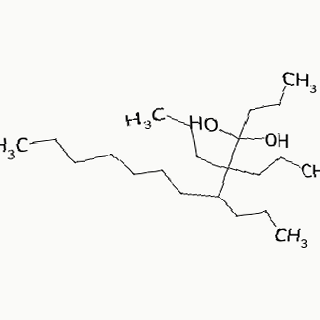 CCCCCCCC(CCC)C(CCC)(CCC)C(O)(O)CCC